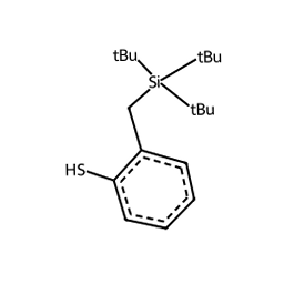 CC(C)(C)[Si](Cc1ccccc1S)(C(C)(C)C)C(C)(C)C